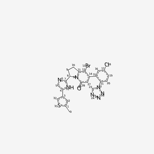 Cc1cc(-c2cnc(C3CCc4c(Br)c(-c5cc(Cl)ccc5-n5cnnn5)cc(=O)n43)[nH]2)cs1